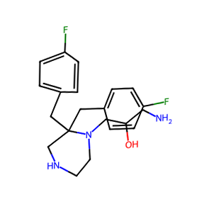 NCC(O)CN1CCNCC1(Cc1ccc(F)cc1)Cc1ccc(F)cc1